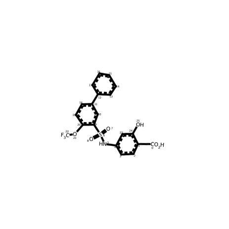 O=C(O)c1ccc(NS(=O)(=O)c2cc(-c3ccccc3)ccc2OC(F)(F)F)cc1O